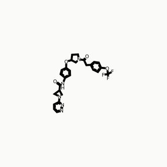 O=C(Nc1ccc(OC2CCN(C(=O)Cc3ccc(OC(F)(F)F)cc3)C2)cc1)C1CN(c2cccnn2)C1